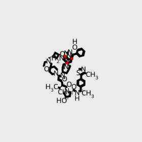 Cc1ncsc1-c1ccc([C@H](C)NC(=O)[C@@H]2C[C@@H](O)CN2C(=O)[C@H](c2cc(N3CCC4(CC3)CN(C[C@H]3C[C@H](Oc5cc(N6C7CCC6CN(c6cc(-c8ccccc8O)nnc6N)C7)ccn5)C3)CCO4)no2)C(C)C)cc1